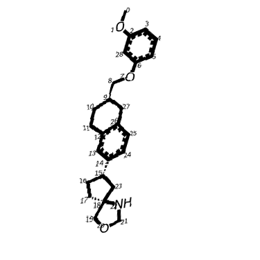 COc1cccc(OC[C@@H]2CCc3cc([C@H]4CC[C@]5(COCN5)C4)ccc3C2)c1